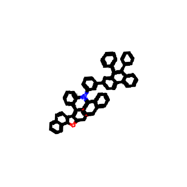 c1ccc(-c2c(-c3ccccc3)c3cc(-c4cccc(N(c5ccccc5-c5cccc6oc7c8ccccc8ccc7c56)c5cccc6ccccc56)c4)ccc3c3ccccc23)cc1